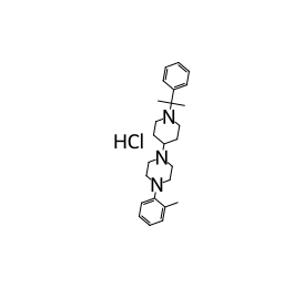 Cc1ccccc1N1CCN(C2CCN(C(C)(C)c3ccccc3)CC2)CC1.Cl